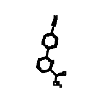 CC(=O)c1cccc(-c2ccc(C#N)cc2)n1